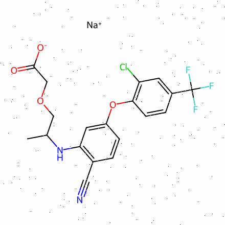 CC(COCC(=O)[O-])Nc1cc(Oc2ccc(C(F)(F)F)cc2Cl)ccc1C#N.[Na+]